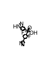 Cn1cc(-c2cc(F)c(C3[C@@H](O)C(=O)N3c3ccc4[nH]cnc4c3)c(F)c2)cn1